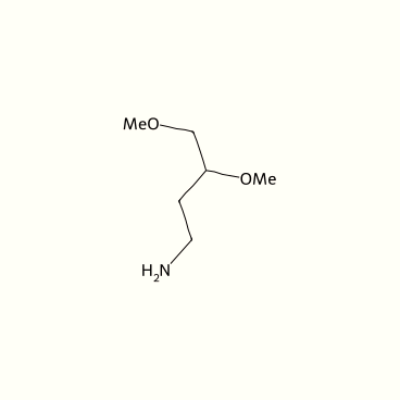 COCC(CCN)OC